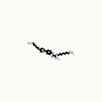 CCCCCCCCOC(C)C(=O)Oc1ccc(-c2ncc(CCCCCCC)cn2)cc1